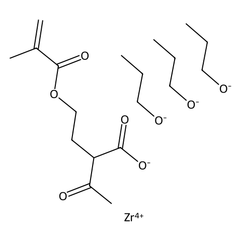 C=C(C)C(=O)OCCC(C(C)=O)C(=O)[O-].CCC[O-].CCC[O-].CCC[O-].[Zr+4]